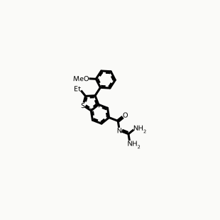 CCc1sc2ccc(C(=O)N=C(N)N)cc2c1-c1ccccc1OC